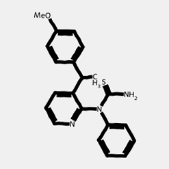 COc1ccc(C(C)c2cccnc2N(C(N)=S)c2ccccc2)cc1